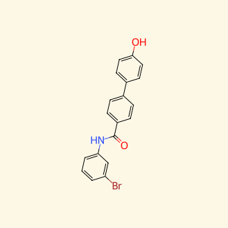 O=C(Nc1cccc(Br)c1)c1ccc(-c2ccc(O)cc2)cc1